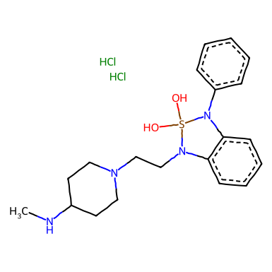 CNC1CCN(CCN2c3ccccc3N(c3ccccc3)S2(O)O)CC1.Cl.Cl